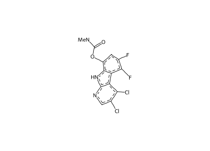 CNC(=O)Oc1cc(F)c(F)c2c1[nH]c1ncc(Cl)c(Cl)c12